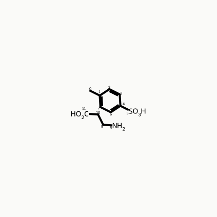 Cc1ccc(S(=O)(=O)O)cc1.NCCC(=O)O